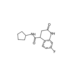 O=C1CC(C(=O)NC2CCCC2)c2ccc(F)cc2N1